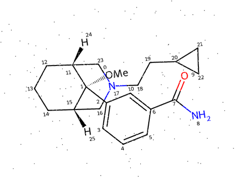 CO[C@@]1(c2cccc(C(N)=O)c2)[C@@H]2CCC[C@H]1CN(CCC1CC1)C2